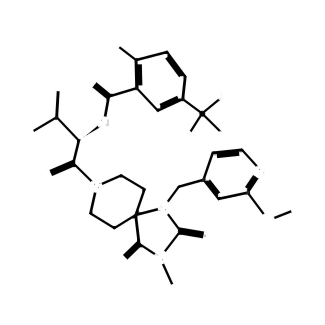 COc1cc(CN2C(=O)N(C)C(=O)C23CCN(C(=O)[C@H](NC(=O)c2cc(C(F)(F)F)ccc2F)C(C)C)CC3)ccn1